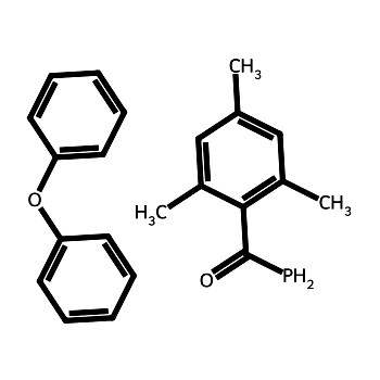 Cc1cc(C)c(C(=O)P)c(C)c1.c1ccc(Oc2ccccc2)cc1